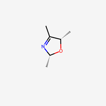 CC1=N[C@@H](C)O[C@H]1C